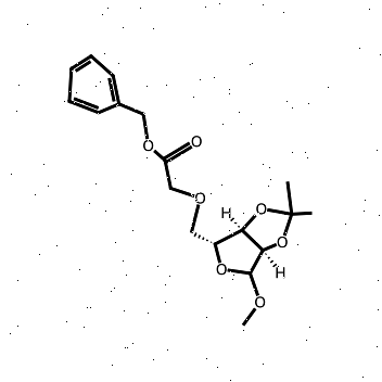 COC1O[C@H](COCC(=O)OCc2ccccc2)[C@H]2OC(C)(C)O[C@@H]12